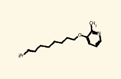 Cc1ncccc1OCCCCCCCCC(C)C